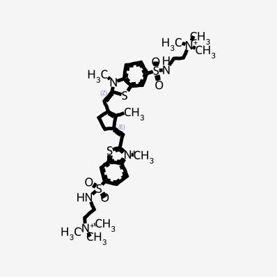 CC1=C(/C=C2\Sc3cc(S(=O)(=O)NCC[N+](C)(C)C)ccc3N2C)CC/C1=C\c1sc2cc(S(=O)(=O)NCC[N+](C)(C)C)ccc2[n+]1C